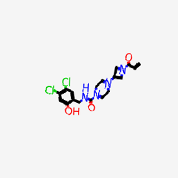 C=CC(=O)N1CC(N2CCN(C(=O)NCc3cc(Cl)c(Cl)cc3O)CC2)C1